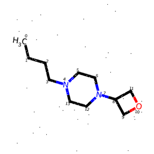 CCCCN1CCN(C2COC2)CC1